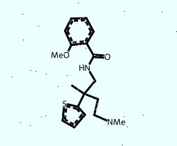 CNCCC(C)(CNC(=O)c1ccccc1OC)c1cccs1